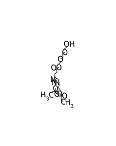 CCC(=O)OCC(Cn1cc(CCC(=O)OCCOCCOCCO)nn1)OC(=O)CC